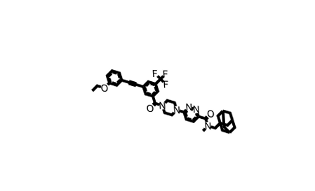 CCOc1cccc(C#Cc2cc(C(=O)N3CCN(c4ccc(C(=O)N(C)CC56CC7CC(CC(C7)C5)C6)nn4)CC3)cc(C(F)(F)F)c2)c1